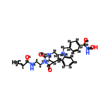 C=CC(=O)NCCN1C(=O)C2CN(Cc3c2c2ccccc2n3Cc2ccc(C(=O)NO)cc2)C1=O